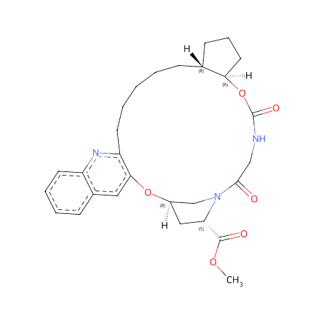 COC(=O)[C@@H]1C[C@@H]2CN1C(=O)CNC(=O)O[C@@H]1CCC[C@H]1CCCCCc1nc3ccccc3cc1O2